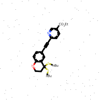 CCCCSC1(SCCCC)CCOc2ccc(C#Cc3ccc(C(=O)OCC)cn3)cc21